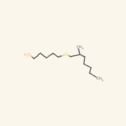 CCCCCC(C)CSCCCCCP